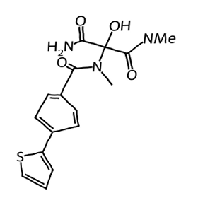 CNC(=O)C(O)(C(N)=O)N(C)C(=O)c1ccc(-c2cccs2)cc1